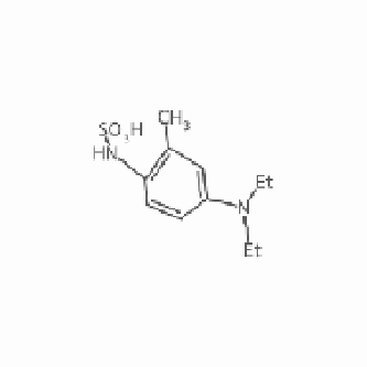 CCN(CC)c1ccc(NS(=O)(=O)O)c(C)c1